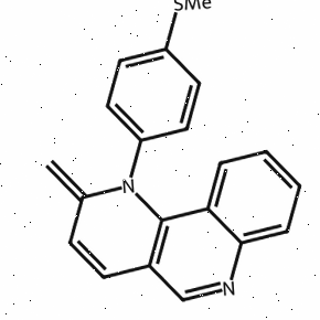 C=C1C=Cc2cnc3ccccc3c2N1c1ccc(SC)cc1